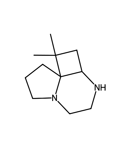 CC1(C)CC2NCCN3CCCC231